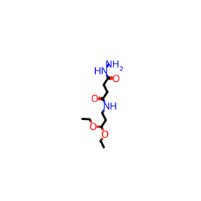 CCOC(CCNC(=O)CCC(=O)NN)OCC